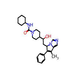 CC1=C(c2ccccc2)C(CC(O)C2CCN(C(=O)NC3CCCCC3)CC2)n2cncc21